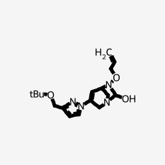 C=CCON1C2C=C(n3ccc(COC(C)(C)C)n3)CN(C2)C1O